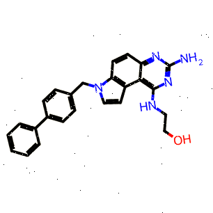 Nc1nc(NCCO)c2c(ccc3c2ccn3Cc2ccc(-c3ccccc3)cc2)n1